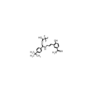 CC(C)(C)c1ccc(C(=O)NC/C=C/c2cc(C(=N)N)ccc2O)cc1.O=C(O)C(F)(F)F